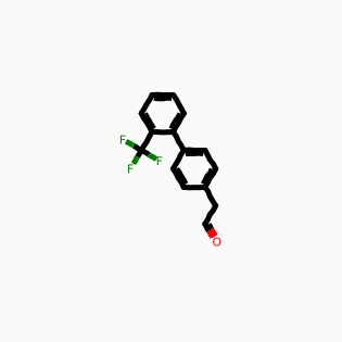 O=CCc1ccc(-c2ccccc2C(F)(F)F)cc1